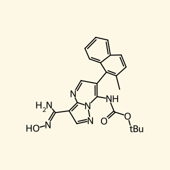 Cc1ccc2ccccc2c1-c1cnc2c(/C(N)=N/O)cnn2c1NC(=O)OC(C)(C)C